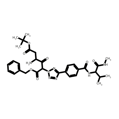 CNC(=O)C(NC(=O)c1ccc(-c2nnn(C(C(=O)OCc3ccccc3)C(=O)C(N)CC(=O)OC(C)(C)C)n2)cc1)C(C)C